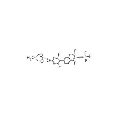 CC1COC(COc2cc(F)c(-c3ccc4c(F)c(C#CC(F)(F)F)c(F)cc4c3)c(F)c2)OC1